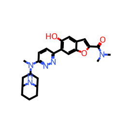 CN(C)C(=O)c1cc2cc(O)c(-c3ccc(N(C)C4CC5CCCC(C4)N5)nn3)cc2o1